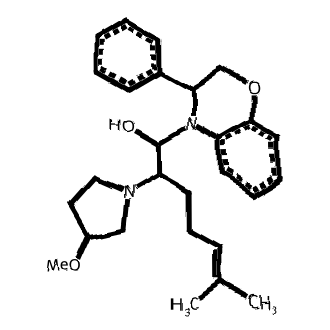 COC1CCN(C(CCC=C(C)C)C(O)N2c3ccccc3OCC2c2ccccc2)C1